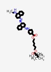 CCNc1ccc(/N=N/c2ccc(/N=N/c3ccc(C(=O)OCCCCCCOC(=O)C(C)(C)C(C)(C)C)cc3)c3ccccc23)c2ccccc12